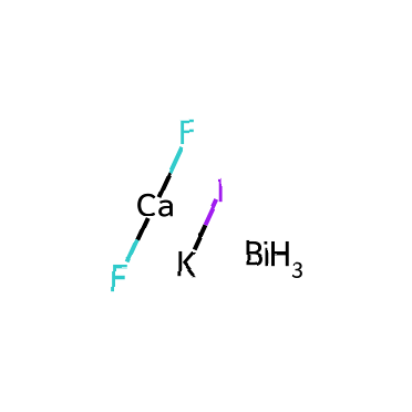 [BiH3].[F][Ca][F].[K][I]